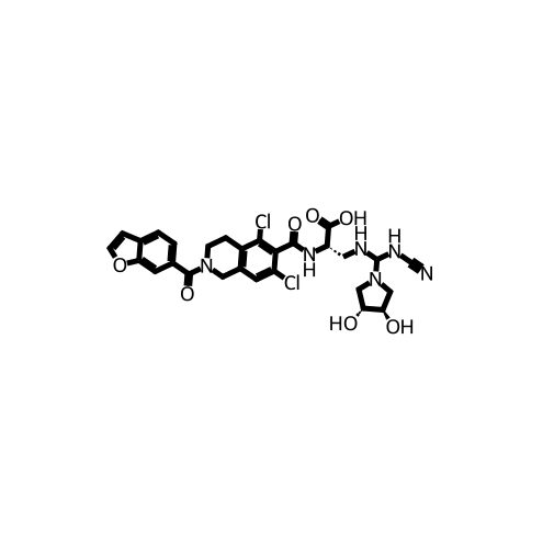 N#CNC(NC[C@H](NC(=O)c1c(Cl)cc2c(c1Cl)CCN(C(=O)c1ccc3ccoc3c1)C2)C(=O)O)N1C[C@@H](O)[C@H](O)C1